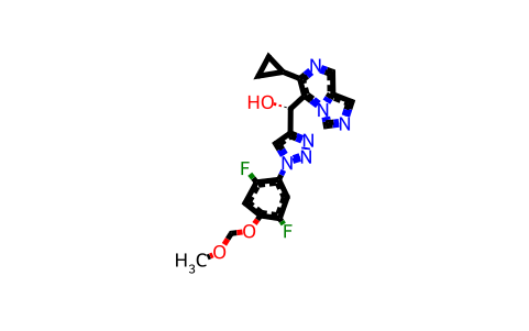 COCOc1cc(F)c(-n2cc([C@H](O)c3c(C4CC4)ncc4cncn34)nn2)cc1F